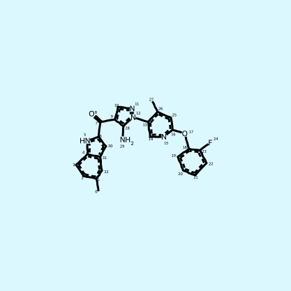 Cc1ccc2[nH]c(C(=O)c3cnn(-c4cnc(Oc5ccccc5F)cc4C)c3N)cc2c1